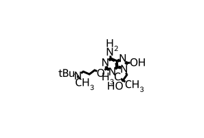 CN(CCCOc1nc(N)c2nc(O)n(CC(C)(C)O)c2n1)C(C)(C)C